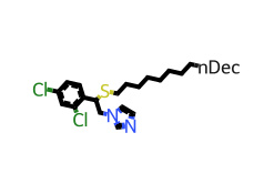 CCCCCCCCCCCCCCCCCCSC(Cn1ccnc1)c1ccc(Cl)cc1Cl